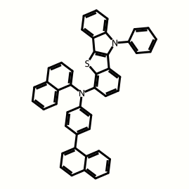 c1ccc(-n2c3ccccc3c3sc4c(N(c5ccc(-c6cccc7ccccc67)cc5)c5cccc6ccccc56)cccc4c32)cc1